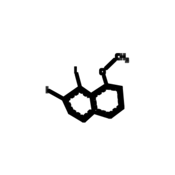 COc1cccc2ccc(I)c(I)c12